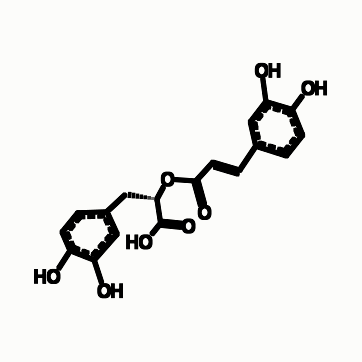 O=C(C=Cc1ccc(O)c(O)c1)O[C@@H](Cc1ccc(O)c(O)c1)C(=O)O